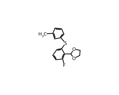 Cc1cccc(Sc2cccc(F)c2C2OCCO2)c1